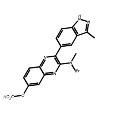 Cc1n[nH]c2ccc(-c3nc4ccc(OC(=O)O)cc4nc3N(C)C(C)C)cc12